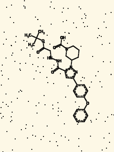 CC(C)(C)OC(=O)CNNC(=O)c1cc(-c2ccc(Oc3ccccc3)cc2)nn1C1CCCN(C(=O)O)C1